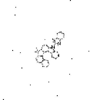 CC1(C)c2ccc3ccccc3c2-c2c1ccc1c2c2ccccc2n1-c1nc2ccccc2s1